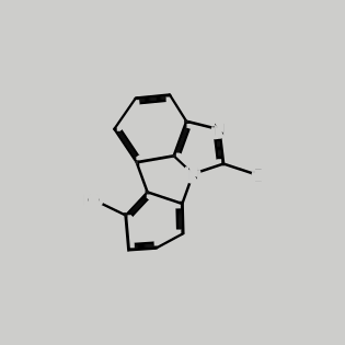 CCc1nc2cccc3c4c(O)cccc4n1c23